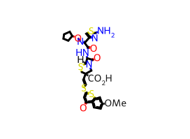 COc1ccc2c(=O)cc(SC=CC3(C(=O)O)CS[C@@H]4C(NC(=O)C(=NOC5CCCC5)c5csc(N)n5)C(=O)N4C3)sc2c1